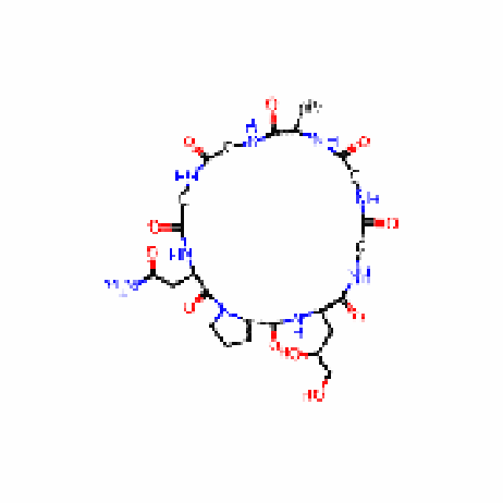 CCCC1NC(=O)CNC(=O)CNC(=O)C(CC(O)CO)NC(=O)C2CCCN2C(=O)C(CC(N)=O)NC(=O)CNC(=O)CNC1=O